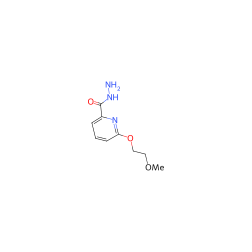 COCCOc1cccc(C(=O)NN)n1